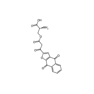 N[C@@H](COC(=O)CC(=O)c1cc2c(o1)C(=O)c1ccccc1C2=O)C(=O)O